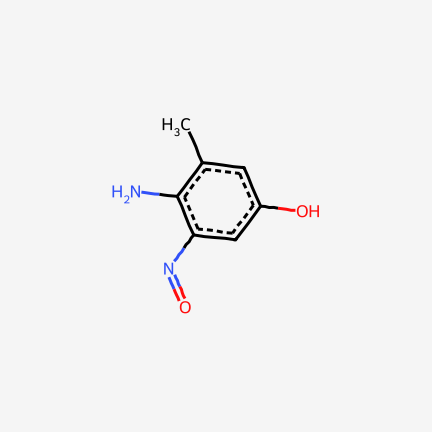 Cc1cc(O)cc(N=O)c1N